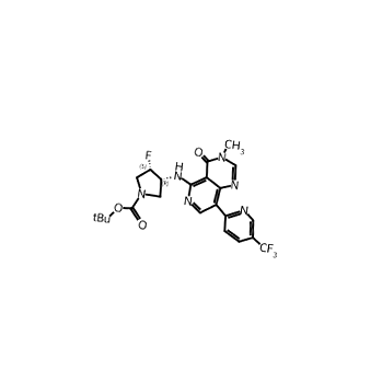 Cn1cnc2c(-c3ccc(C(F)(F)F)cn3)cnc(N[C@@H]3CN(C(=O)OC(C)(C)C)C[C@@H]3F)c2c1=O